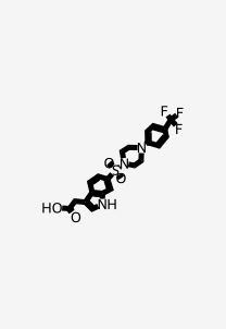 O=C(O)Cc1c[nH]c2cc(S(=O)(=O)N3CCN(c4ccc(C(F)(F)F)cc4)CC3)ccc12